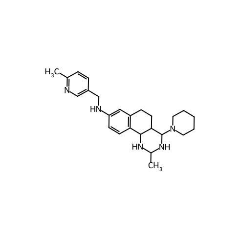 Cc1ccc(CNc2ccc3c(c2)CCC2C3NC(C)NC2N2CCCCC2)cn1